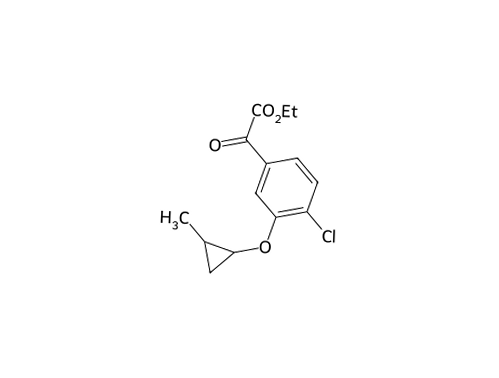 CCOC(=O)C(=O)c1ccc(Cl)c(OC2CC2C)c1